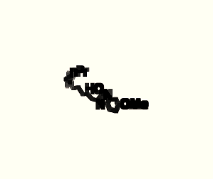 CCC[C@H]1C[C@H]1CCCCCc1nc2ccc(OC)cc2nc1O